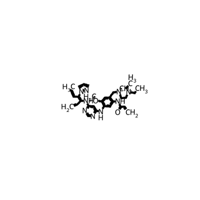 C=CC(=O)Nc1cc(Nc2cc(N/C(C=C)=C(/C=C\C)n3cccn3)ncn2)c(OC)cc1CN(C)CCN(CC)CC